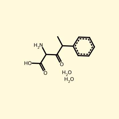 CC(C(=O)C(N)C(=O)O)c1ccccc1.O.O